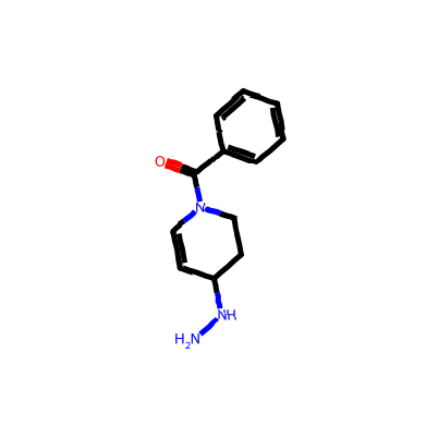 NNC1C=CN(C(=O)c2ccccc2)CC1